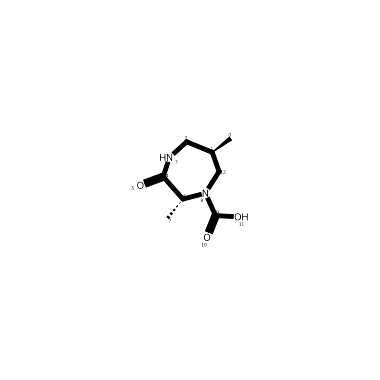 C[C@@H]1CNC(=O)[C@@H](C)N(C(=O)O)C1